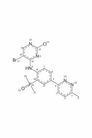 Cc1ccc(-c2ccc(Nc3nc(Cl)ncc3Br)c(P(C)(C)=O)c2)nn1